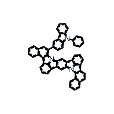 c1ccc(-n2c3ccccc3c3cc(-c4cc5ccccc5c5c6cccc7c8cc9c(cc8n(c45)c76)c4cccc5c6ccc7ccccc7c6n9c45)ccc32)cc1